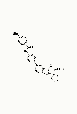 CC(C)(C)c1ccc(C(=O)Nc2ccc(-c3ccc4c(c3)C(=O)N(C3(OC=O)CCCC3)C4)cc2)cc1